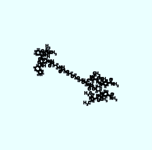 CCn1nc(C)cc1C(=O)N=c1n(C)c2cc(C(N)=O)ccc2n1CCC(CCn1c(=NC(=O)c2cc(C)nn2CC)n(C)c2cc(C(N)=O)ccc21)OCC(=O)NCCOCCOCCOCCOCCC(=O)NCCCCC(=O)N[C@H]1C[C@@H](C(=O)NC2CCCc3ccccc32)N(C(=O)[C@@H](NC(=O)[C@H](C)NC)C2CCCCC2)C1